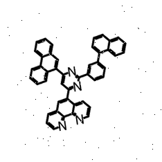 c1cc(-c2nc(-c3cc4ccccc4c4ccccc34)cc(-c3cc4cccnc4c4ncccc34)n2)cc(-c2cccc3ccccc23)c1